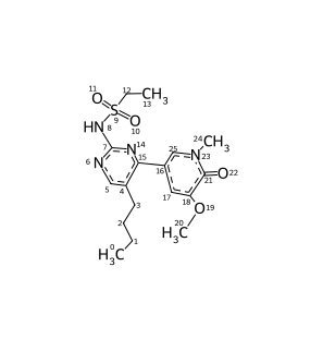 CCCCc1cnc(NS(=O)(=O)CC)nc1-c1cc(OC)c(=O)n(C)c1